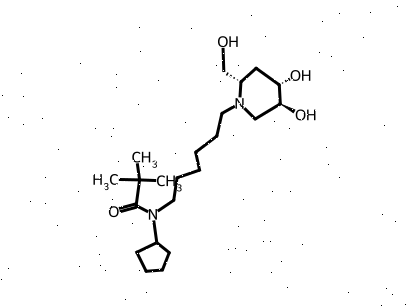 CC(C)(C)C(=O)N(CCCCCCN1C[C@H](O)[C@@H](O)C[C@H]1CO)C1CCCC1